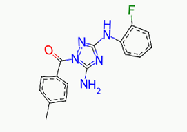 Cc1ccc(C(=O)n2nc(Nc3ccccc3F)nc2N)cc1